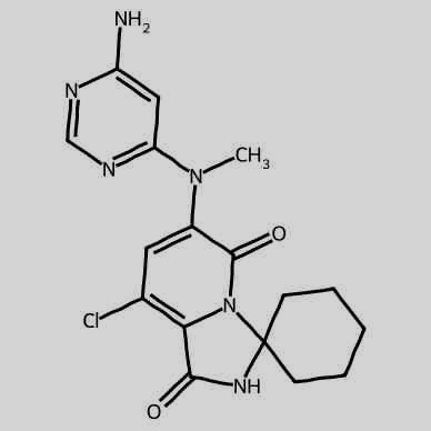 CN(c1cc(N)ncn1)c1cc(Cl)c2n(c1=O)C1(CCCCC1)NC2=O